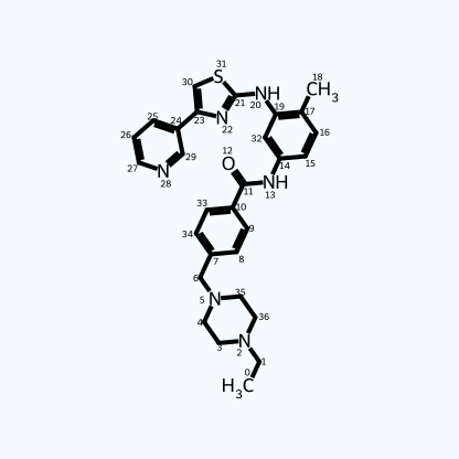 CCN1CCN(Cc2ccc(C(=O)Nc3ccc(C)c(Nc4nc(-c5cccnc5)cs4)c3)cc2)CC1